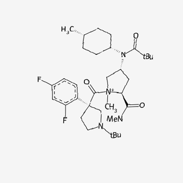 CNC(=O)[C@@H]1C[C@@H](N(C(=O)C(C)(C)C)[C@H]2CC[C@@H](C)CC2)C[N+]1(C)C(=O)[C@]1(c2ccc(F)cc2F)CCN(C(C)(C)C)C1